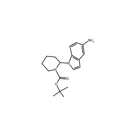 CC(C)(C)OC(=O)N1CCCCC1n1ccc2cc(N)ccc21